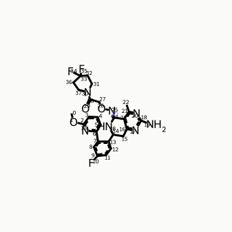 COc1cccc(-c2cc(F)ccc2C2Cc3nc(N)nc(C)c3/C(=N/OCC(=O)N3CCC(F)(F)CC3)N2)n1